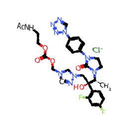 CC(=O)NCCOC(=O)OCN1[C+]=NN(C[C@@](O)(c2ccc(F)cc2F)[C@@H](C)N2CCN(c3ccc(-n4cnnn4)cc3)C2=O)C1.[Cl-]